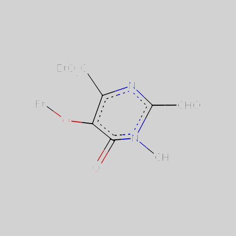 CCOC(=O)c1nc(C=O)n(C)c(=O)c1OCC